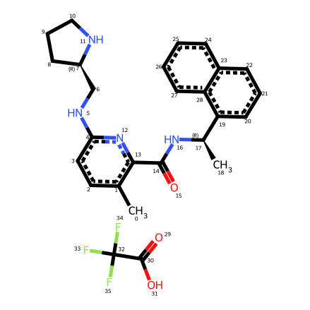 Cc1ccc(NC[C@H]2CCCN2)nc1C(=O)N[C@H](C)c1cccc2ccccc12.O=C(O)C(F)(F)F